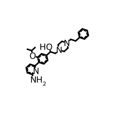 CC(C)Oc1cc(C(O)CN2CCN(CCc3ccccc3)CC2)ccc1-c1cccc(N)n1